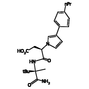 CCCc1ccc(-c2ccn([C@H](CC(=O)O)C(=O)N[C@](C)(C(N)=O)C(C)(C)C)c2)cc1